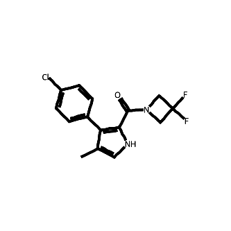 Cc1c[nH]c(C(=O)N2CC(F)(F)C2)c1-c1ccc(Cl)cc1